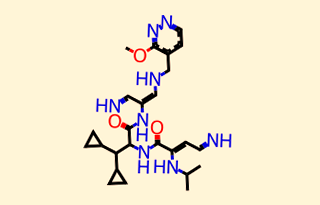 COc1nnccc1CN/C=C(\C=N)NC(=O)C(NC(=O)/C(=C/C=N)NC(C)C)C(C1CC1)C1CC1